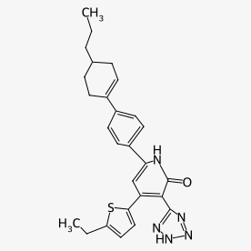 CCCC1CC=C(c2ccc(-c3cc(-c4ccc(CC)s4)c(-c4nn[nH]n4)c(=O)[nH]3)cc2)CC1